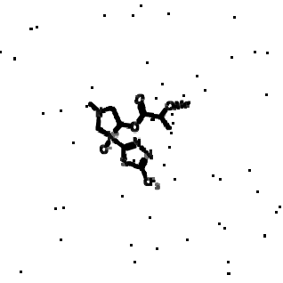 COC(C)C(=O)OC1CN(C)C[N+]1([O-])c1nnc(C(F)(F)F)s1